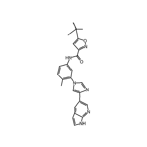 Cc1ccc(NC(=O)c2cc(C(C)(C)C)on2)cc1-n1cnc(-c2cnc3[nH]ccc3c2)c1